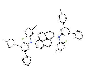 Cc1ccc(-c2cc(-c3ccccc3)cc(N(c3cc(C)ccc3F)c3ccc4ccc5c(N(c6cc(-c7ccccc7)cc(-c7ccc(C)cc7)c6)c6cc(C)ccc6F)ccc6ccc3c4c65)c2)cc1